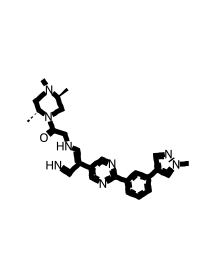 C[C@@H]1CN(C)[C@@H](C)CN1C(=O)CN/C=C(\C=N)c1cnc(-c2cccc(-c3cnn(C)c3)c2)nc1